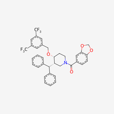 O=C(c1ccc2c(c1)OCO2)N1CC[C@@H](OCc2cc(C(F)(F)F)cc(C(F)(F)F)c2)[C@@H](C(c2ccccc2)c2ccccc2)C1